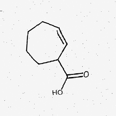 O=C(O)C1C=CCCCC1